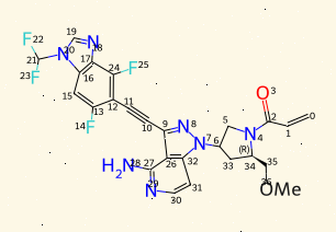 C=CC(=O)N1CC(n2nc(C#Cc3c(F)cc4c(ncn4C(F)F)c3F)c3c(N)nccc32)C[C@@H]1COC